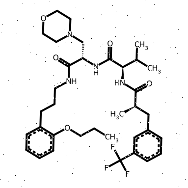 CCCOc1ccccc1CCCNC(=O)[C@H](CN1CCOCC1)NC(=O)[C@H](NC(=O)[C@H](C)Cc1cccc(C(F)(F)F)c1)C(C)C